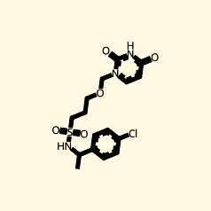 CC(NS(=O)(=O)CCCOCn1ccc(=O)[nH]c1=O)c1ccc(Cl)cc1